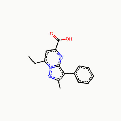 CCc1cc(C(=O)O)nc2c(-c3ccccc3)c(C)nn12